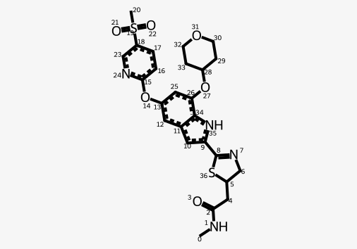 CNC(=O)CC1CN=C(c2cc3cc(Oc4ccc(S(C)(=O)=O)cn4)cc(OC4CCOCC4)c3[nH]2)S1